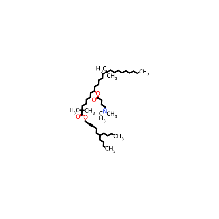 CCCCCCCCCC(C)(C)CCCCCC(CCCCCC(C)(C)C(=O)OCC#CCCC(CCCC)CCCC)OC(=O)CCCN(C)C